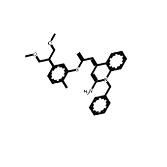 C=C(C=C1C=C(N)N(Cc2ccccc2)c2ccccc21)Sc1cc(C(COC)COC)ccc1C